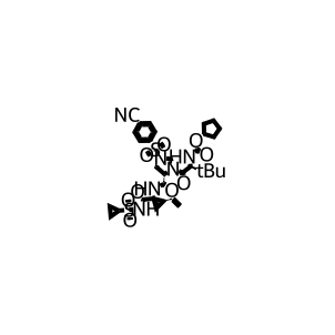 C=C[C@@H]1C[C@]1(NC(=O)[C@@H]1CN(S(=O)(=O)c2ccc(C#N)cc2)CN1C(=O)[C@@H](NC(=O)OC1CCCC1)C(C)(C)C)C(=O)NS(=O)(=O)C1CC1